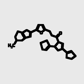 CC1CCC2=C(C=C(c3ccc(CCC(=O)C4C=C(C5=CCCC5)CC4C4=CCCC4)o3)C2)C1